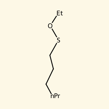 CCCCCCSOCC